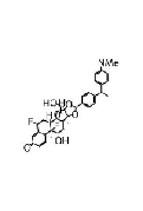 CNc1ccc([C@@H](C)c2ccc([C@@H]3O[C@@H]4CC5[C@@H]6C[C@H](F)C7=CC(=O)C=C[C@]7(C)[C@@]6(F)[C@@H](O)C[C@]5(C)[C@]4(C(=O)CO)O3)cc2)cc1